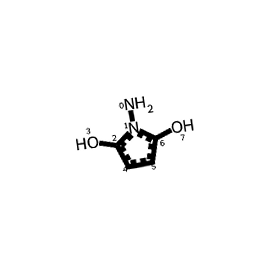 Nn1c(O)ccc1O